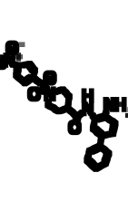 Nc1ccc(-c2ccccc2)cc1NC(=O)C1CCN(S(=O)(=O)c2ccc([N+](=O)[O-])cc2)CC1